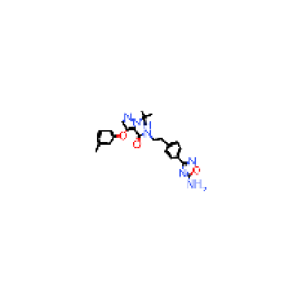 Cc1cccc(Oc2cnn(C(C)(C)C)c2C(=O)NCCc2ccc(-c3noc(N)n3)cc2)c1